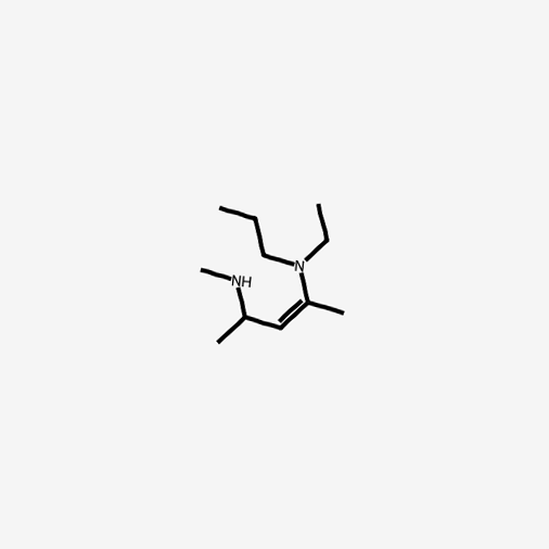 CCCN(CC)/C(C)=C\C(C)NC